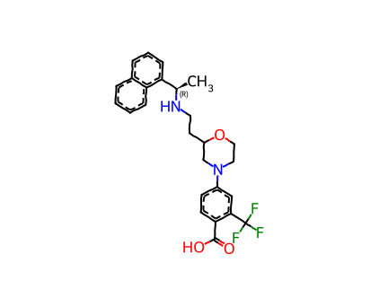 C[C@@H](NCCC1CN(c2ccc(C(=O)O)c(C(F)(F)F)c2)CCO1)c1cccc2ccccc12